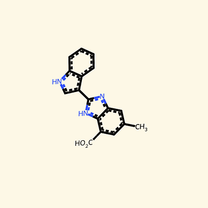 Cc1cc(C(=O)O)c2[nH]c(-c3c[nH]c4ccccc34)nc2c1